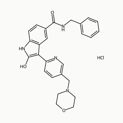 Cl.O=C(NCc1ccccc1)c1ccc2[nH]c(O)c(-c3ccc(CN4CCOCC4)cn3)c2c1